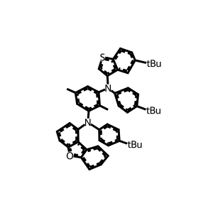 Cc1cc(N(c2ccc(C(C)(C)C)cc2)c2csc3ccc(C(C)(C)C)cc23)c(C)c(N(c2ccc(C(C)(C)C)cc2)c2cccc3oc4ccccc4c23)c1